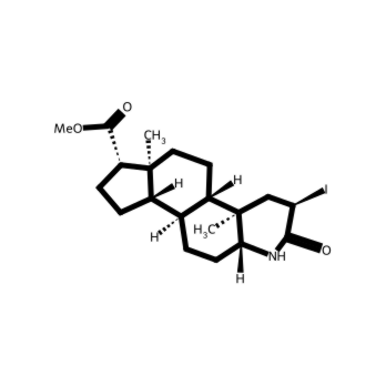 COC(=O)[C@H]1CC[C@H]2[C@@H]3CC[C@H]4NC(=O)[C@H](I)C[C@]4(C)[C@H]3CC[C@]12C